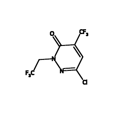 O=c1c(C(F)(F)F)cc(Cl)nn1CC(F)(F)F